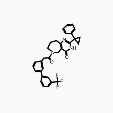 O=C(Cc1cccc(-c2cccc(C(F)(F)F)c2)c1)N1CCCc2nc(C3(c4ccccc4)CC3)[nH]c(=O)c2C1